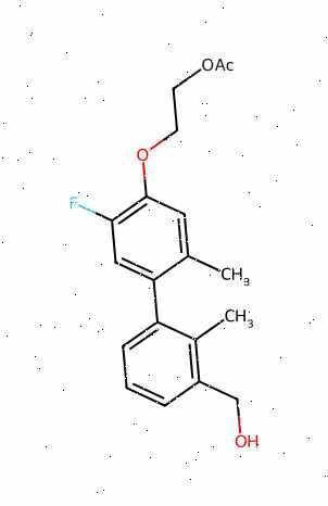 CC(=O)OCCOc1cc(C)c(-c2cccc(CO)c2C)cc1F